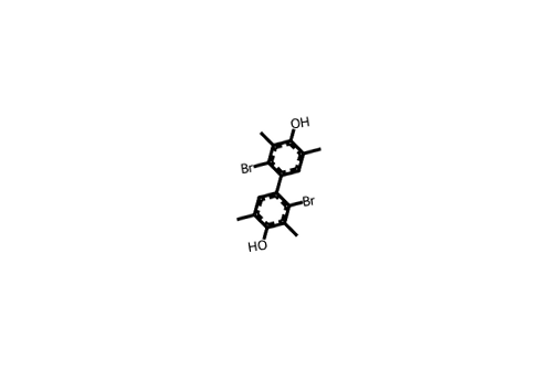 Cc1cc(-c2cc(C)c(O)c(C)c2Br)c(Br)c(C)c1O